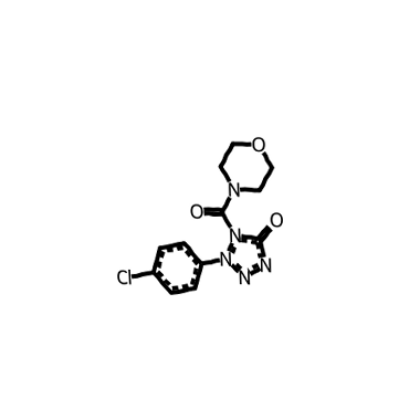 O=C(N1CCOCC1)n1c(=O)nnn1-c1ccc(Cl)cc1